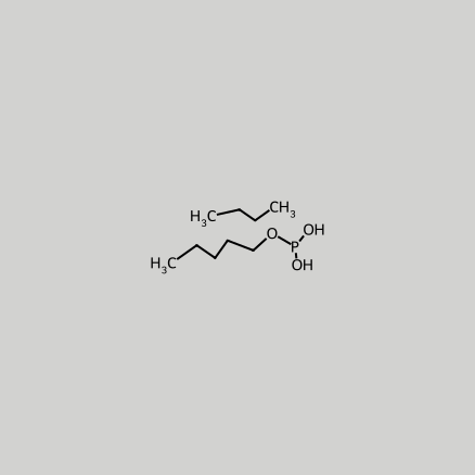 CCCC.CCCCCOP(O)O